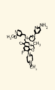 COc1cc(CN(Cc2cn3c4c(c(N5CCN(C)CC5)c(F)cc4c2=O)OCC3C)[C@H]2CCCN(c3ccc(N)nc3)C2)ccn1